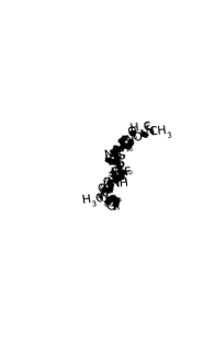 CN(C)CCOC(=O)N1CC=C(c2cc3nccc(Oc4ccc(NC(=O)CC(=O)N(C)c5ccccc5)cc4F)c3s2)CC1